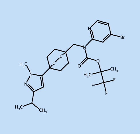 CC(C)c1cc(C23CCC(CN(C(=O)OC(C)(C)C(F)(F)F)c4cc(Br)ccn4)(CC2)CC3)n(C)n1